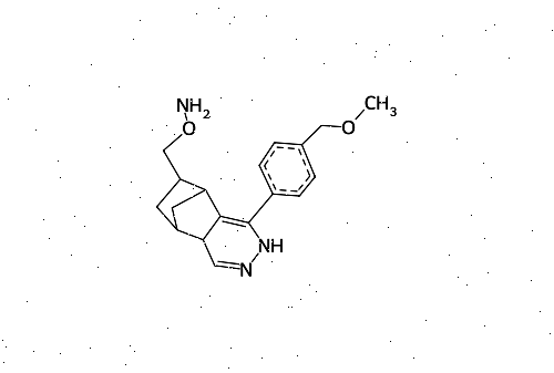 COCc1ccc(C2=C3C(C=NN2)C2CC(CON)C3C2)cc1